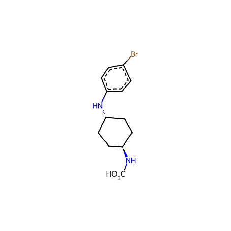 O=C(O)N[C@H]1CC[C@H](Nc2ccc(Br)cc2)CC1